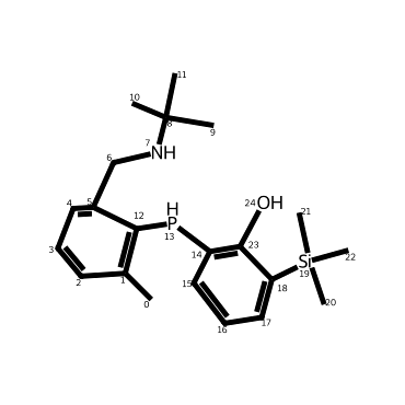 Cc1cccc(CNC(C)(C)C)c1Pc1cccc([Si](C)(C)C)c1O